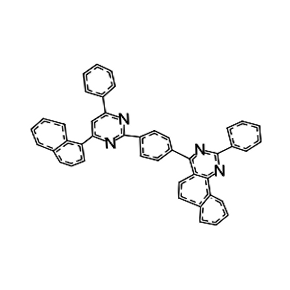 c1ccc(-c2cc(-c3cccc4ccccc34)nc(-c3ccc(-c4nc(-c5ccccc5)nc5c4ccc4ccccc45)cc3)n2)cc1